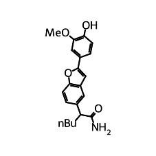 CCCCC(C(N)=O)c1ccc2oc(-c3ccc(O)c(OC)c3)cc2c1